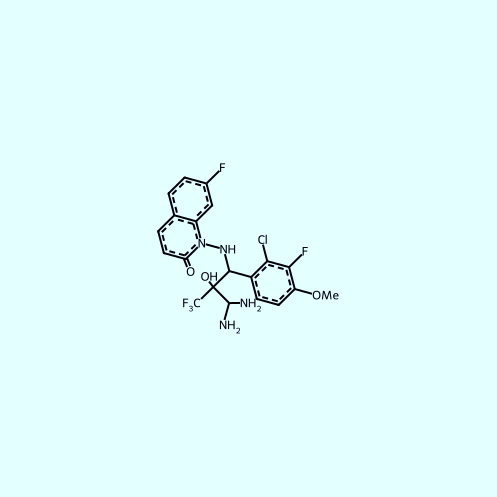 COc1ccc(C(Nn2c(=O)ccc3ccc(F)cc32)C(O)(C(N)N)C(F)(F)F)c(Cl)c1F